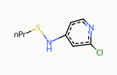 CCCSNc1ccnc(Cl)c1